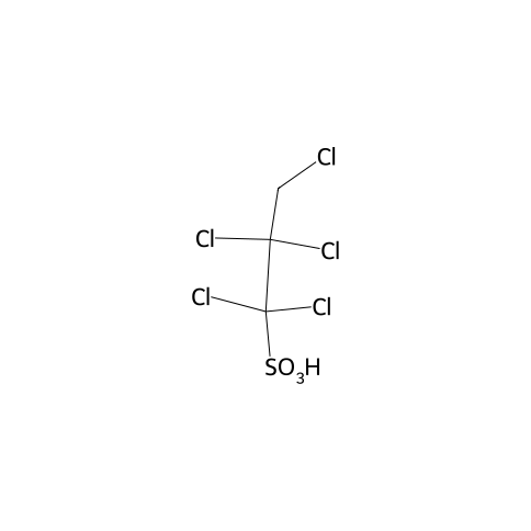 O=S(=O)(O)C(Cl)(Cl)C(Cl)(Cl)CCl